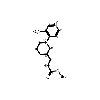 CC(C)(C)OC(=O)NCC1CCCN(c2ccncc2[N+](=O)[O-])C1